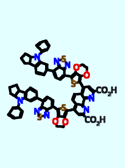 O=C(O)c1cc(-c2sc(-c3ccc(-c4ccc5c(c4)N(c4ccccc4)C4CCCC54)c4nsnc34)c3c2OCCO3)c2ccc3c(-c4sc(-c5ccc(-c6ccc7c(c6)N(c6ccccc6)C6CCCC76)c6nsnc56)c5c4OCCO5)cc(C(=O)O)nc3c2n1